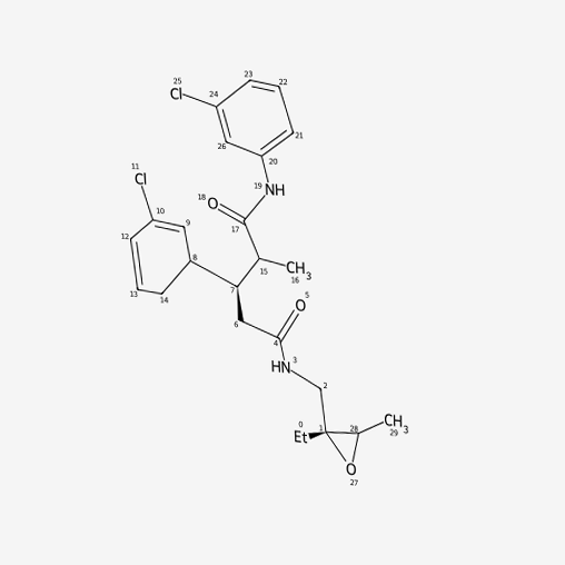 CC[C@]1(CNC(=O)C[C@@H](C2C=C(Cl)C=CC2)C(C)C(=O)Nc2cccc(Cl)c2)OC1C